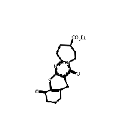 CCOC(=O)C1CCc2nc3c(c(=O)n2CC1)CC1=C(S3)C(=O)CCC1